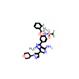 C[C@H](Oc1cc(-c2nn(C)c3c(-c4cnn(C5CCOCC5)c4)cnc(N)c23)ccc1NS(=O)(=O)C(F)F)c1ccccc1F